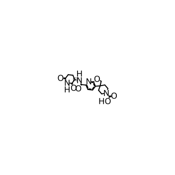 O=C1CC[C@H](NC(=O)c2ccc3c(n2)OCC32CCN(C(=O)O)CC2)C(=O)N1